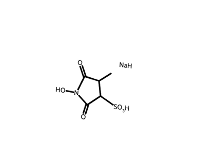 CC1C(=O)N(O)C(=O)C1S(=O)(=O)O.[NaH]